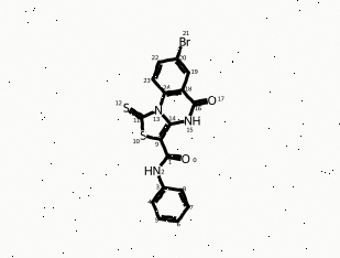 O=C(Nc1ccccc1)c1sc(=S)n2c1[nH]c(=O)c1cc(Br)ccc12